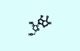 O=c1[nH]cnc2c1c(Br)cn2[C@@H]1O[C@H](CO)C[C@H]1O